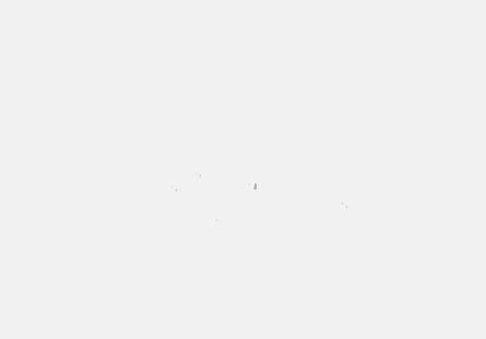 Clc1cccc(-c2ccc3cnc(Nc4cccc(N5CCOCC5)c4)nn23)c1